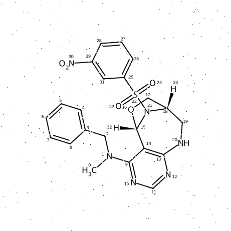 CN(Cc1ccccc1)c1ncnc2c1[C@@H]1OC[C@H](CN2)N1S(=O)(=O)c1cccc([N+](=O)[O-])c1